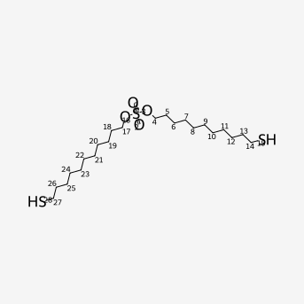 O=S(=O)(OCCCCCCCCCCCS)OCCCCCCCCCCCS